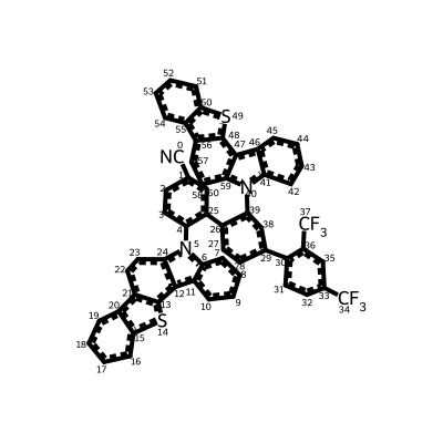 N#Cc1ccc(-n2c3ccccc3c3c4sc5ccccc5c4ccc32)c(-c2ccc(-c3ccc(C(F)(F)F)cc3C(F)(F)F)cc2-n2c3ccccc3c3c4sc5ccccc5c4ccc32)c1